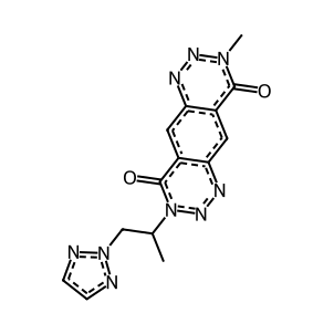 CC(Cn1nccn1)n1nnc2cc3c(=O)n(C)nnc3cc2c1=O